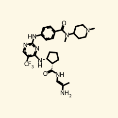 C/C(N)=C\NC(=O)[C@H]1CCC[C@H]1Nc1nc(Nc2ccc(C(=O)N(C)C3CCN(C)CC3)cc2)ncc1C(F)(F)F